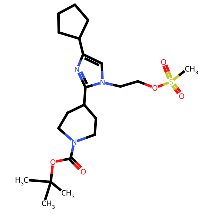 CC(C)(C)OC(=O)N1CCC(c2nc(C3CCCC3)cn2CCOS(C)(=O)=O)CC1